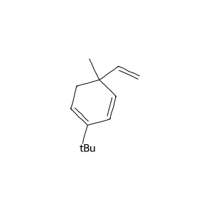 C=CC1(C)C=CC(C(C)(C)C)=CC1